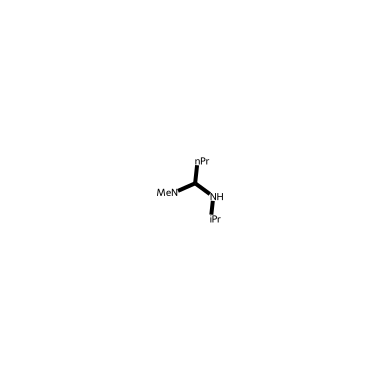 CCCC(NC)NC(C)C